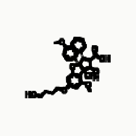 COc1ccc([C@@]23Oc4cc(OCCCCO)cc(OC)c4[C@]2(O)[C@H](O)[C@H](C(=O)O)[C@H]3c2ccccc2)cc1